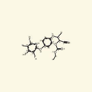 CCOC(=O)OC(C#N)C(C)Oc1ccc(Oc2nc(F)c(C)c(F)c2F)cc1